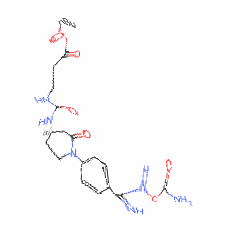 CCCCOC(=O)CCNC(=O)N[C@H]1CCN(c2ccc(C(=N)NOC(N)=O)cc2)C1=O